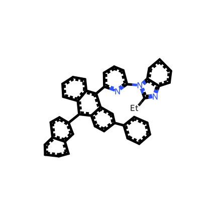 CCc1nc2ccccc2n1-c1cccc(-c2c3ccccc3c(-c3ccc4ccccc4c3)c3ccc(-c4ccccc4)cc23)n1